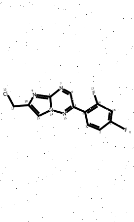 Fc1ccc(-c2cnc3nc(CCl)cn3n2)c(F)c1